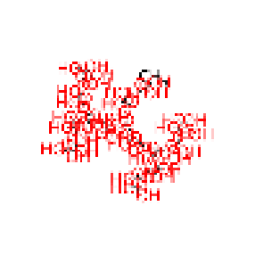 CC1OC(COC2OC(COC3OC(COC4OC(COC5OC(COC6OC(COC7OC(CO)C(O)C(O)C7O)C(O)C6O)C(OC6OC(COC7OC(CO)C(O)C(O)C7O)C(O)C6O)C5O)C(O)C4O)C(OC4OC(COC5OC(COC6OC(COC7OC(CO)C(O)C(O)C7O)C(O)C6O)C(OC6OC(COC7OC(CO)C(O)C(O)C7O)C(O)C6O)C5O)C(O)C4O)C3O)C(O)C2O)C(O)C1O